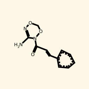 NC1=NOCON1C(=O)C=Cc1ccccc1